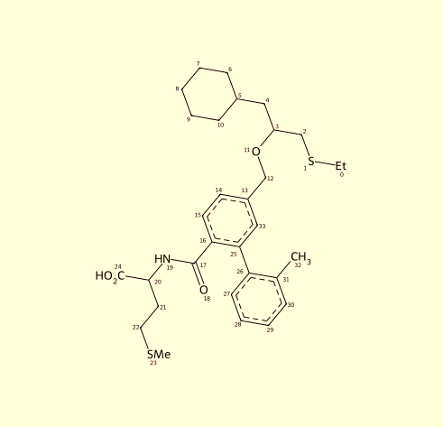 CCSCC(CC1CCCCC1)OCc1ccc(C(=O)NC(CCSC)C(=O)O)c(-c2ccccc2C)c1